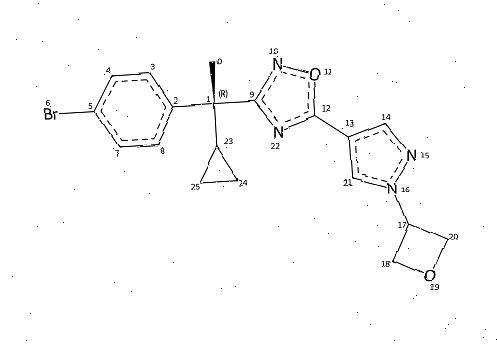 C[C@@](c1ccc(Br)cc1)(c1noc(-c2cnn(C3COC3)c2)n1)C1CC1